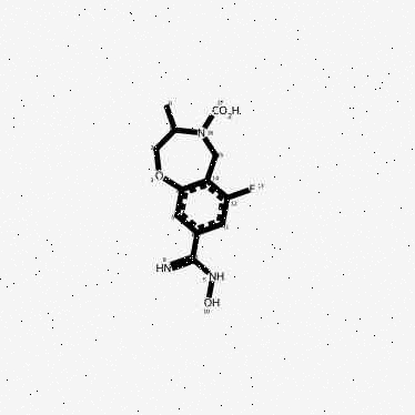 CC1COc2cc(C(=N)NO)cc(F)c2CN1C(=O)O